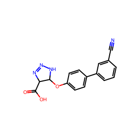 N#Cc1cccc(-c2ccc(OC3NN=NC3C(=O)O)cc2)c1